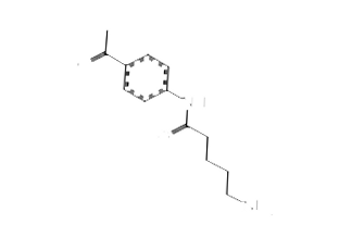 CC(=O)c1ccc(NC(=O)CCCCN)cc1